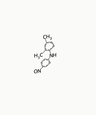 Cc1ccc(Nc2ccc(N=O)cc2)c(C)c1